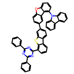 c1ccc(-c2nc(-c3ccccc3)nc(-c3cccc4c3sc3cc(-c5ccc6oc7cccc(-n8c9ccccc9c9ccccc98)c7c6c5)ccc34)n2)cc1